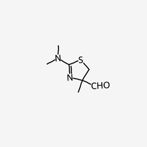 CN(C)C1=NC(C)(C=O)CS1